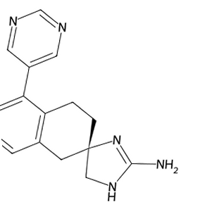 NC1=N[C@]2(CCc3c(cccc3-c3cncnc3)C2)CN1